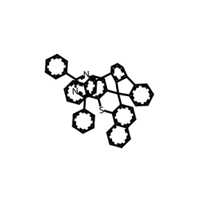 c1ccc(-c2cc(-c3cccc4c3C3(c5ccccc5-4)c4ccc5ccccc5c4Sc4c3ccc3ccccc43)nc(-c3ccccc3)n2)cc1